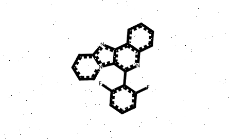 Fc1cccc(F)c1-c1nc2ccccc2c2nc3ccccn3c12